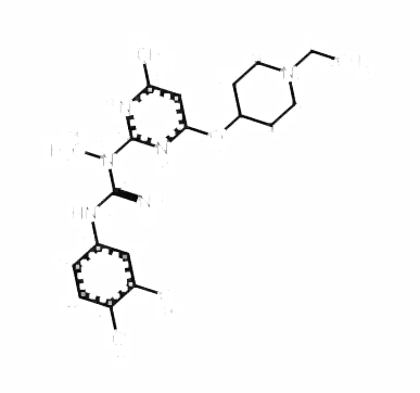 CCN1CCC(Oc2cc(C)nc(N(C)C(=N)Nc3ccc(Cl)c(Cl)c3)n2)CC1